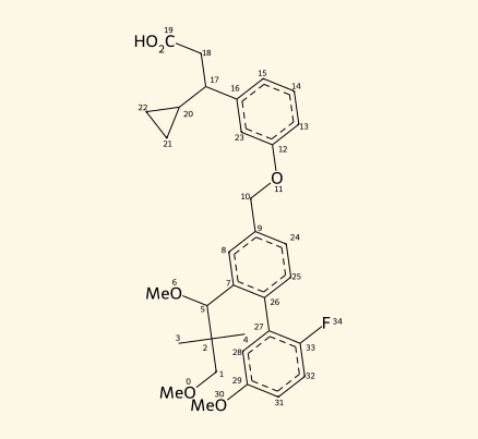 COCC(C)(C)C(OC)c1cc(COc2cccc(C(CC(=O)O)C3CC3)c2)ccc1-c1cc(OC)ccc1F